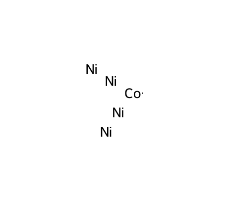 [Co].[Ni].[Ni].[Ni].[Ni]